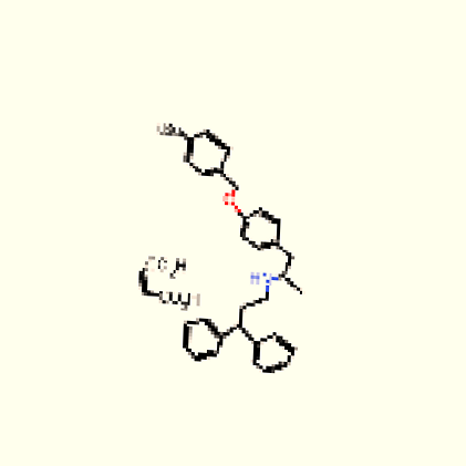 CC(Cc1ccc(OCc2ccc(C(C)(C)C)cc2)cc1)NCCC(c1ccccc1)c1ccccc1.O=C(O)/C=C\C(=O)O